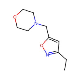 CCc1cc(CN2CCOCC2)on1